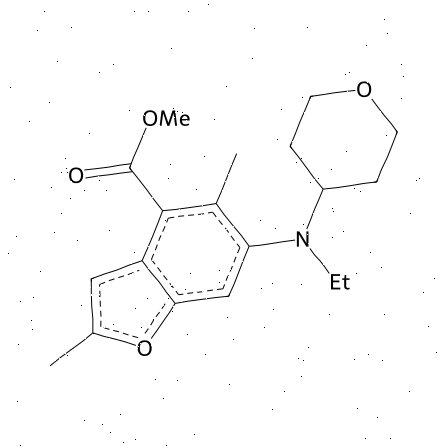 CCN(c1cc2oc(C)cc2c(C(=O)OC)c1C)C1CCOCC1